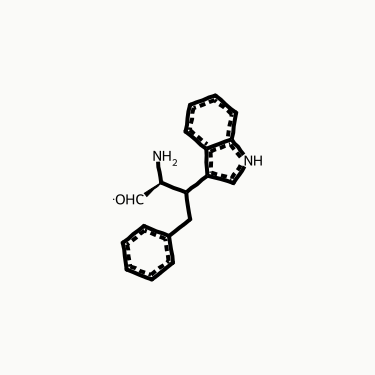 N[C@H]([C]=O)C(Cc1ccccc1)c1c[nH]c2ccccc12